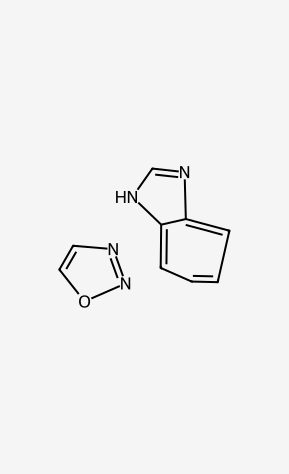 c1ccc2[nH]cnc2c1.c1conn1